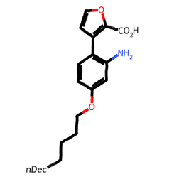 CCCCCCCCCCCCCCOc1ccc(-c2ccoc2C(=O)O)c(N)c1